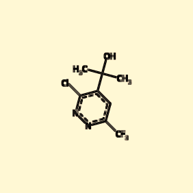 CC(C)(O)c1cc(C(F)(F)F)nnc1Cl